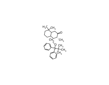 C[C@H]1C(=O)CC2C(C)(C)CCC[C@]2(C)[C@H]1CO[Si](c1ccccc1)(c1ccccc1)C(C)(C)C